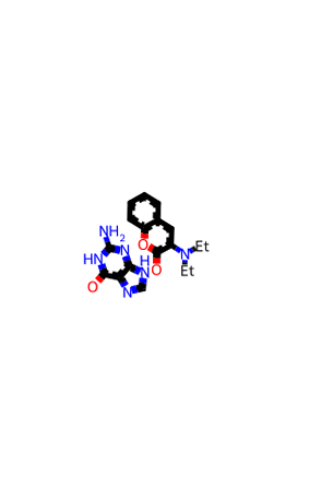 CCN(CC)c1cc2ccccc2oc1=O.Nc1nc2[nH]cnc2c(=O)[nH]1